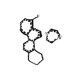 Fc1cccc2c1ccc1c3c(ccc12)CCCC3.c1cnccn1